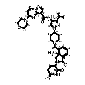 CC12CN(C3CCC(=O)NC3=O)C(=O)C1=CC=CC2CN1CCC(n2cc(NC(=O)c3cnn4ccc(N5CCOCC5)nc34)c(C(F)F)n2)CC1